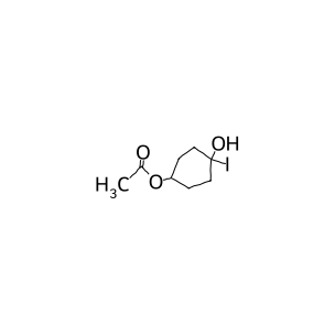 CC(=O)OC1CCC(O)(I)CC1